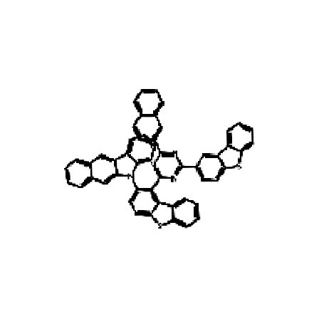 c1ccc2cc(-c3nc(-c4ccc5sc6ccccc6c5c4)nc(-c4c(-n5c6ccccc6c6cc7ccccc7cc65)ccc5sc6ccccc6c45)n3)ccc2c1